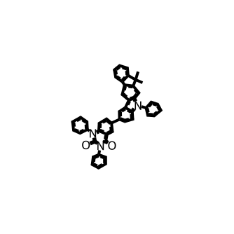 CC1(C)c2ccccc2-c2cc3c4cc(-c5ccc6c(c5)c(=O)n(-c5ccccc5)c(=O)n6-c5ccccc5)ccc4n(-c4ccccc4)c3cc21